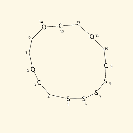 C1COCCSSSSCCOCCO1